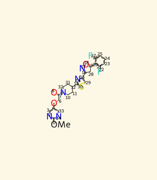 COc1ncc(OCC(=O)N2CCC(c3nc(C4=NOC(c5c(F)cccc5F)C4)cs3)CC2)cn1